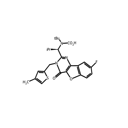 Cc1csc(Cn2c([C@@H](C(C)C)N(C(=O)O)C(C)(C)C)nc3c(oc4ccc(F)cc43)c2=O)c1